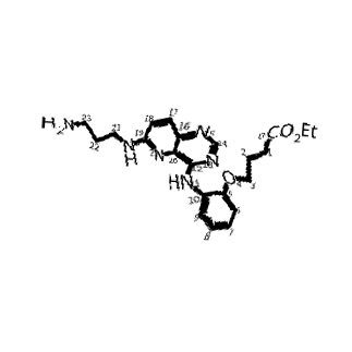 CCOC(=O)CCCOc1ccccc1Nc1ncnc2ccc(NCCCN)nc12